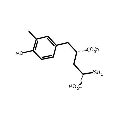 N[C@@H](C[C@H](Cc1ccc(O)c(I)c1)C(=O)O)C(=O)O